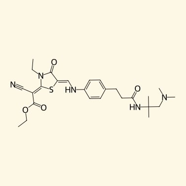 CCOC(=O)/C(C#N)=c1\s/c(=C\Nc2ccc(CCC(=O)NC(C)(C)CN(C)C)cc2)c(=O)n1CC